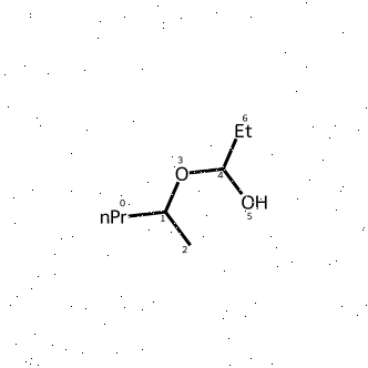 CCCC(C)OC(O)CC